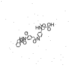 COc1cc(CC(=O)N(C)c2ccc(C(CCC(=O)O)NC(C)=O)cc2)ccc1NC(=O)N1CCc2ccccc21